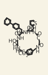 O=C1CCC(=O)N[C@H](Cc2cccs2)C(=O)N[C@@H](Cc2ccc(-c3ccccc3)cc2)C(=O)NC(O)C(=O)N[C@H](C(=O)O)Cc2ccc(cc2)N1